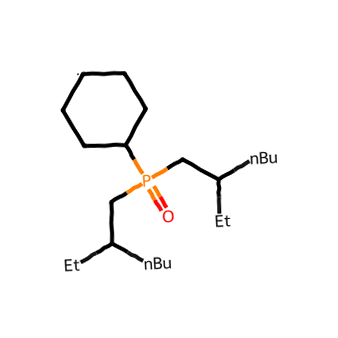 CCCCC(CC)CP(=O)(CC(CC)CCCC)C1CC[CH]CC1